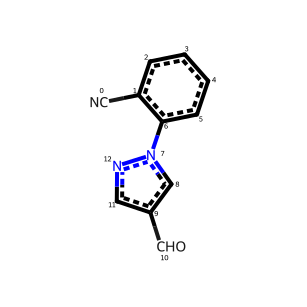 N#Cc1ccccc1-n1cc(C=O)cn1